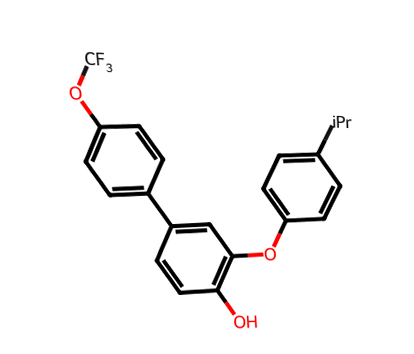 CC(C)c1ccc(Oc2cc(-c3ccc(OC(F)(F)F)cc3)ccc2O)cc1